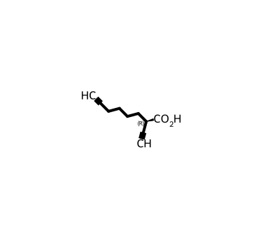 C#CCCCC[C@H](C#C)C(=O)O